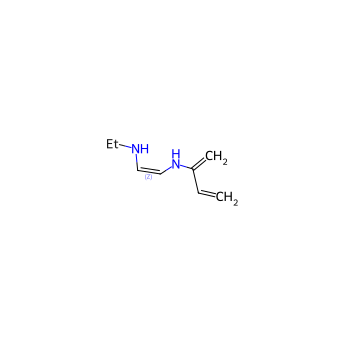 C=CC(=C)N/C=C\NCC